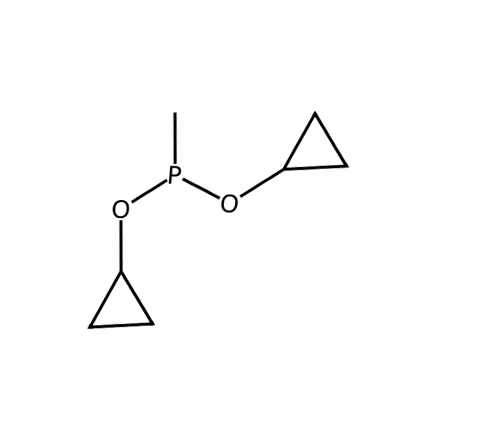 CP(OC1CC1)OC1CC1